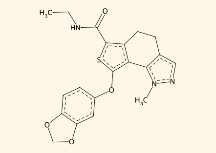 CCNC(=O)c1sc(Oc2ccc3c(c2)OCO3)c2c1CCc1cnn(C)c1-2